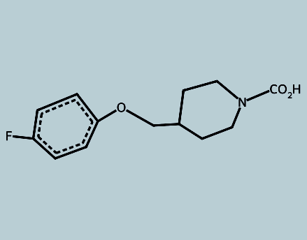 O=C(O)N1CCC(COc2ccc(F)cc2)CC1